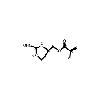 C=C(C)C(=O)OCC1CCOC(C=O)O1